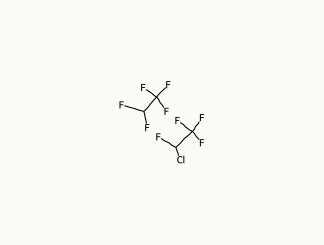 FC(Cl)C(F)(F)F.FC(F)C(F)(F)F